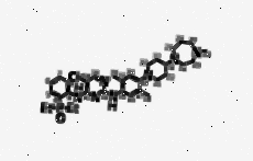 CCP(=O)(CC)c1ccccc1Nc1nc(Nc2cc(C)c(N3CCC(N4CCCN(C)CC4)CC3)cc2C)ncc1Cl